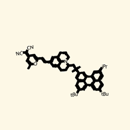 CC1=CC(=C(C#N)C#N)C=C(/C=C/c2cc3c4c(c2)CCC(CC(C)(C)c2cc5cc(C(C)(C)C)cc6c7cc(C(C)(C)C)cc8cc(C(C)C)cc(c(c2)c56)c87)N4CCC3)O1